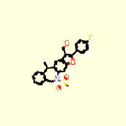 CC1c2ccccc2CN(S(C)(=O)=O)c2cc3oc(-c4ccc(F)cc4)c(C=O)c3cc21